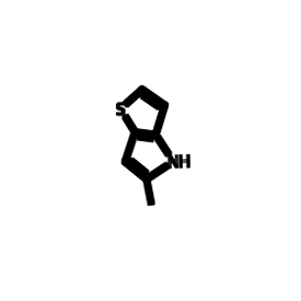 Cc1cc2sccc2[nH]1